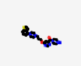 O=C(c1cc(OCCCN2CCN(c3cccc4sccc34)CC2)ncn1)N1CCNCC1